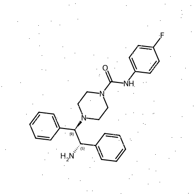 N[C@@H](c1ccccc1)[C@@H](c1ccccc1)N1CCN(C(=O)Nc2ccc(F)cc2)CC1